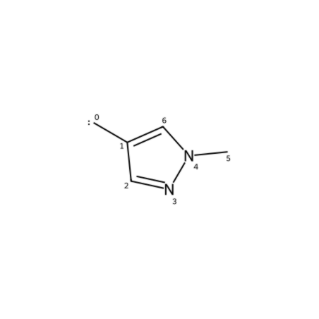 [CH]c1cnn(C)c1